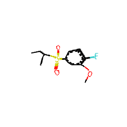 CCC(C)S(=O)(=O)c1ccc(F)c(OC)c1